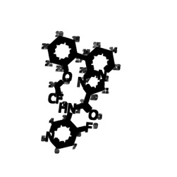 O=C(Nc1cnccc1F)c1cn2cccc(-c3ccccc3OCC(F)(F)F)c2n1